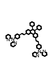 C(=C\c1ccc2c(-c3ccccc3)c(-c3ccccc3)c3ccc(/C=C/c4ccc(N(c5ccccn5)c5ccccn5)cc4)cc3c2c1)/c1ccc(N(c2ccccn2)c2ccccn2)cc1